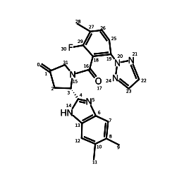 C=C1C[C@@H](c2nc3cc(C)c(C)cc3[nH]2)N(C(=O)c2c(-n3nccn3)ccc(C)c2F)C1